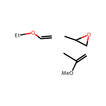 C=C(C)OC.C=COCC.CC1CO1